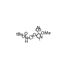 COc1nc(C)cc(O[C@@H]2CC[C@H](NC(=O)OC(C)(C)C)C2)c1-c1ccno1